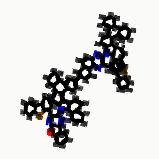 c1ccc2c(c1)ccc1c3c4c5ccccc5c5ccccc5c4ccc3n(-c3nc4ccc5cc(-c6ccc7c(c6)c6ccccc6c6ccc8c(c9ccc%10ccccc%10c9n8-c8nc9c(nc8-c8cccc%10c8sc8ccccc8%10)oc8ccccc89)c67)ccc5c4nc3-c3ccc4sc5ccccc5c4c3)c21